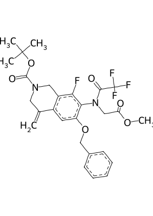 C=C1CN(C(=O)OC(C)(C)C)Cc2c1cc(OCc1ccccc1)c(N(CC(=O)OC)C(=O)C(F)(F)F)c2F